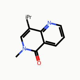 CC(C)c1cn(C)c(=O)c2cccnc12